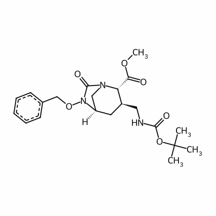 COC(=O)[C@@H]1[C@@H](CNC(=O)OC(C)(C)C)C[C@@H]2CN1C(=O)N2OCc1ccccc1